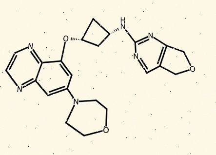 c1cnc2c(O[C@H]3C[C@@H](Nc4ncc5c(n4)COC5)C3)cc(N3CCOCC3)cc2n1